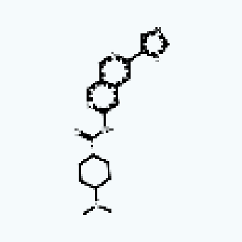 CN(C)[C@H]1CC[C@H](C(=O)Nc2cc3cc(-c4cncs4)ncc3cn2)CC1